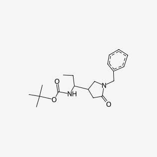 CCC(NC(=O)OC(C)(C)C)C1CC(=O)N(Cc2ccccc2)C1